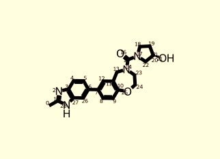 Cc1nc2ccc(-c3ccc4c(c3)CN(C(=O)N3CC[C@@H](O)C3)CCO4)cc2[nH]1